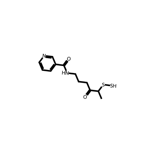 CC(SS)C(=O)CCCNC(=O)c1cccnc1